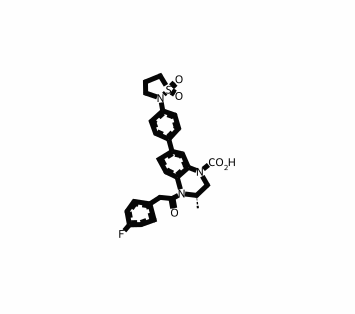 C[C@H]1CN(C(=O)O)c2cc(-c3ccc(N4CCCS4(=O)=O)cc3)ccc2N1C(=O)Cc1ccc(F)cc1